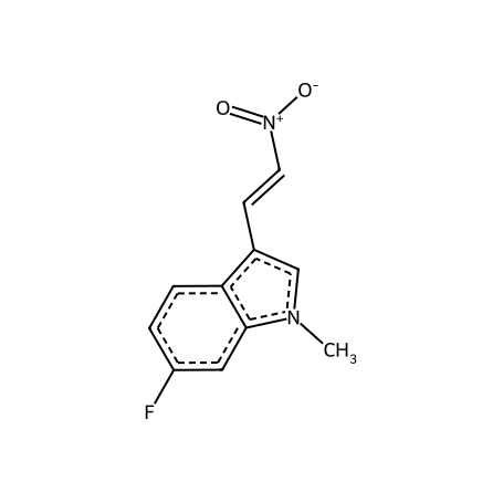 Cn1cc(C=C[N+](=O)[O-])c2ccc(F)cc21